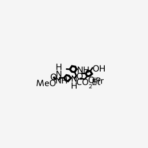 CCOC(=O)CCc1c(CNc2ccc(C)cc2C(=O)Nc2ccc(C(=N)NC(=O)OC)cc2)cc(CO)cc1OC(C)C